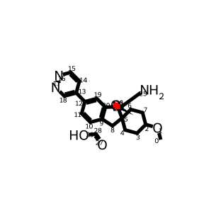 COC1CCC2(CC1)Cc1ccc(-c3ccnnc3)cc1C21COC(N)=N1.O=CO